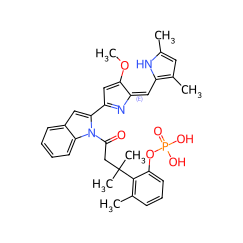 COC1=CC(c2cc3ccccc3n2C(=O)CC(C)(C)c2c(C)cccc2OP(=O)(O)O)=N/C1=C/c1[nH]c(C)cc1C